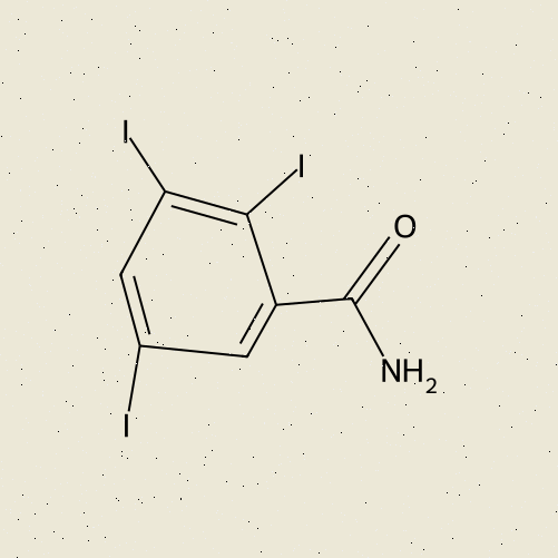 NC(=O)c1cc(I)cc(I)c1I